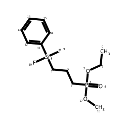 CCOP(=O)(CCC[Si](F)(F)c1ccccc1)OC